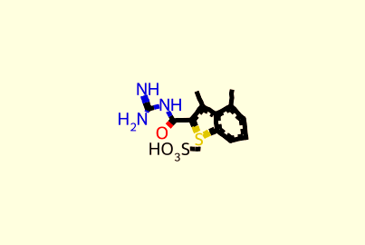 CS(=O)(=O)O.Cc1cccc2sc(C(=O)NC(=N)N)c(C)c12